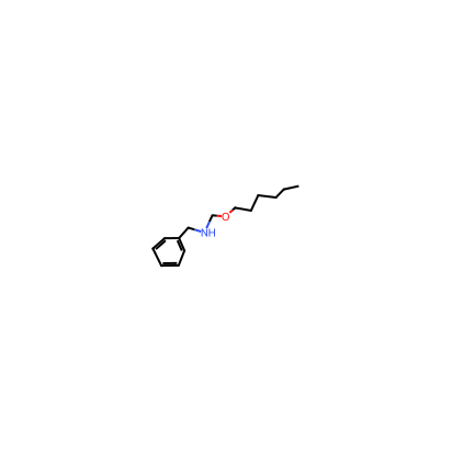 CCCCCCOCNCc1ccccc1